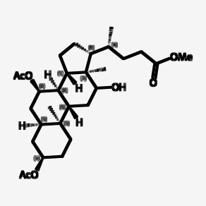 COC(=O)CC[C@@H](C)[C@H]1CC[C@H]2[C@@H]3[C@H](OC(C)=O)C[C@@H]4C[C@H](OC(C)=O)CC[C@]4(C)[C@H]3CC(O)[C@]12C